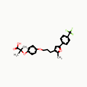 Cc1oc(-c2ccc(C(F)(F)F)cc2)cc1CCCOc1ccc(OC(C)(C)C(=O)O)cc1